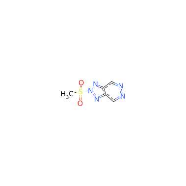 CS(=O)(=O)n1nc2cnncc2n1